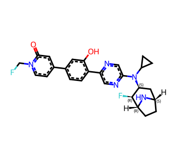 O=c1cc(-c2ccc(-c3cnc(N(C4CC4)[C@H]4C[C@@H]5CC[C@@H](N5)[C@H]4F)cn3)c(O)c2)ccn1CF